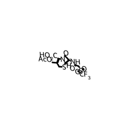 CC(=O)OCC1=C(C(=O)O)N2C(=O)[C@@H](NC(=O)CS(=O)(=O)C(F)(F)F)[C@H]2SC1